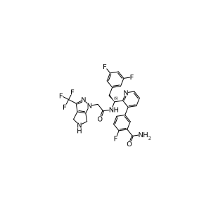 NC(=O)c1cc(-c2cccnc2[C@H](Cc2cc(F)cc(F)c2)NC(=O)Cn2nc(C(F)(F)F)c3c2CNC3)ccc1F